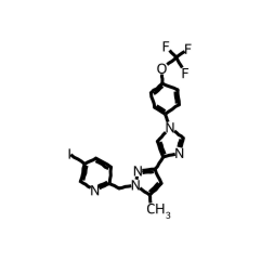 Cc1cc(-c2cn(-c3ccc(OC(F)(F)F)cc3)cn2)nn1Cc1ccc(I)cn1